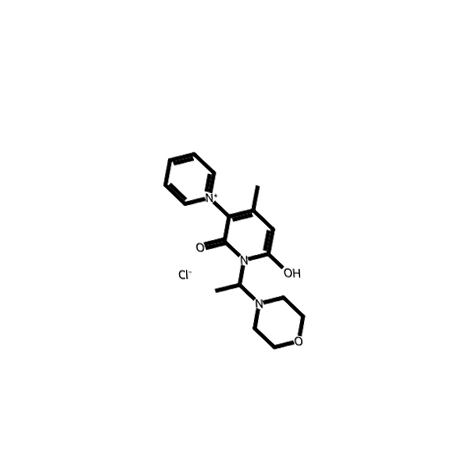 Cc1cc(O)n(C(C)N2CCOCC2)c(=O)c1-[n+]1ccccc1.[Cl-]